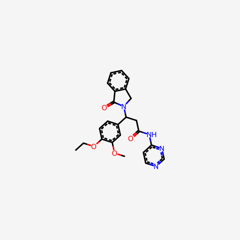 CCOc1ccc(C(CC(=O)Nc2ccncn2)N2Cc3ccccc3C2=O)cc1OC